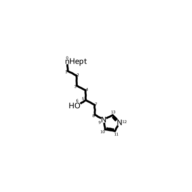 CCCCCCCCCCCC(O)CCn1ccnc1